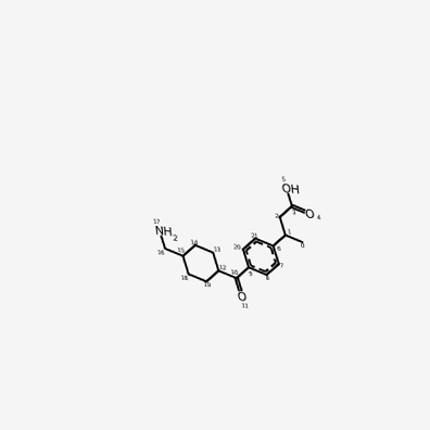 CC(CC(=O)O)c1ccc(C(=O)C2CCC(CN)CC2)cc1